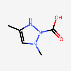 CC1=[C]N(C)N(C(=O)O)N1